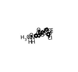 CNC(=O)Nc1ccc2c(c1)CCC21OC(=O)N(CC(=O)N2CCC[C@@H]2c2ccc(Cl)cc2C(F)(F)F)C1=O